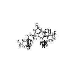 CN(c1cc(F)cc(-c2ccc(N3CC4(CC4)CS3(=O)=O)nc2)c1)c1cc2nnnn2c2ccc(F)cc12